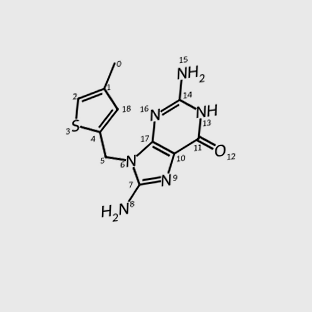 Cc1csc(Cn2c(N)nc3c(=O)[nH]c(N)nc32)c1